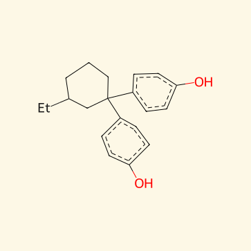 CCC1CCCC(c2ccc(O)cc2)(c2ccc(O)cc2)C1